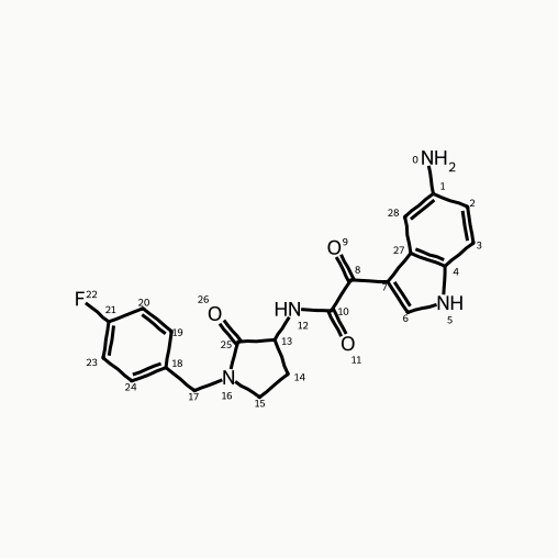 Nc1ccc2[nH]cc(C(=O)C(=O)NC3CCN(Cc4ccc(F)cc4)C3=O)c2c1